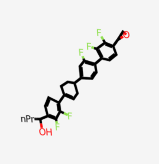 CCCC(O)c1ccc(C2=CCC(c3ccc(-c4ccc(C5CO5)c(F)c4F)c(F)c3)CC2)c(F)c1F